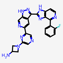 NC1CN(c2cncc(-c3cc4c(-c5nc6c(-c7ccccc7F)nccc6[nH]5)n[nH]c4cn3)n2)C1